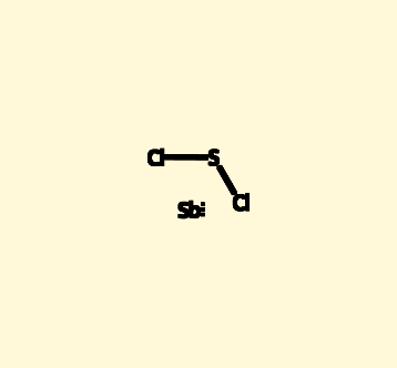 ClSCl.[Sb]